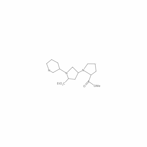 CCOC(=O)C1CC(N2C[CH]CC2C(=O)OC)CN1C1CCC[N]C1